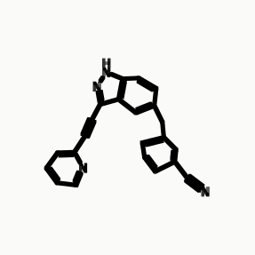 N#Cc1cccc(Cc2ccc3[nH]nc(C#Cc4ccccn4)c3c2)c1